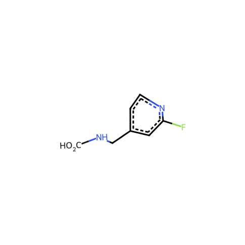 O=C(O)NCc1ccnc(F)c1